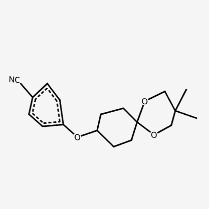 CC1(C)COC2(CCC(Oc3ccc(C#N)cc3)CC2)OC1